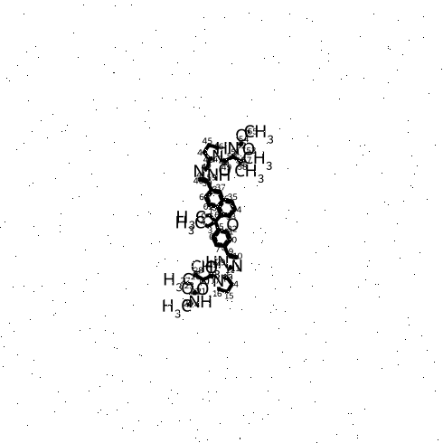 CCC1(CC)c2ccc(-c3cnc([C@@H]4CCCN4C(=O)[C@H](OC(=O)NC)C(C)C)[nH]3)cc2Oc2ccc3cc(-c4cnc(C5CCCN5C(=O)C(NC(=O)OC)C(C)C)[nH]4)ccc3c21